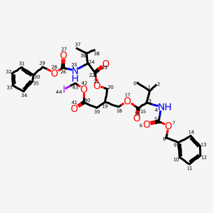 CC(C)C(NC(=O)OCc1ccccc1)C(=O)OCC(COC(=O)C(NC(=O)OCc1ccccc1)C(C)C)CC(=O)OCI